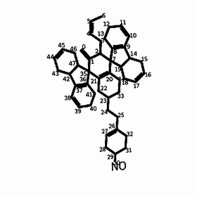 C=C1C(C/C=C\C)C2(C3=C(C=CCC3)C3CC=CCC32)C2=C(CC(CCC3=CCC(N=O)CC3)CC2)C12C1=C(C=CCC1)C1CC=CCC12